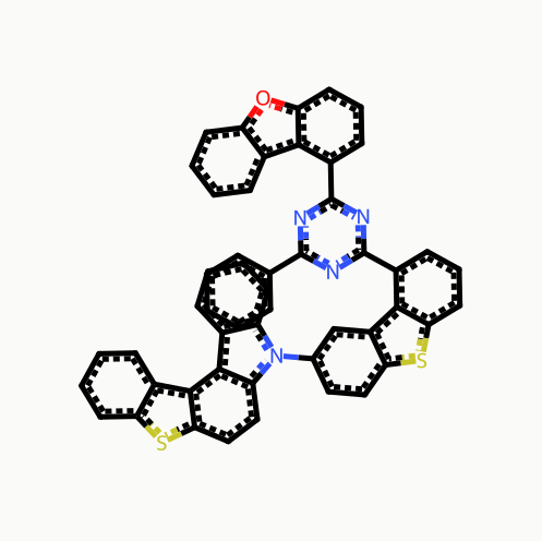 c1ccc(-c2nc(-c3cccc4oc5ccccc5c34)nc(-c3cccc4sc5ccc(-n6c7ccccc7c7c8c(ccc76)sc6ccccc68)cc5c34)n2)cc1